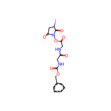 O=C(CNC(=O)OCc1ccccc1)NCC(=O)ON1C(=O)CC(I)C1=O